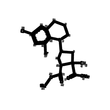 COC(=O)C1(C)CC(N2CCCc3cc(Cl)cc(Br)c32)CN1C(=O)OC(C)(C)C